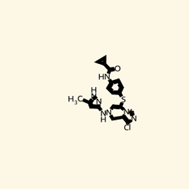 Cc1cc(NN2C=C(Sc3ccc(NC(=O)C4CC4)cc3)[N+]3C=NC(Cl)=C3C2)n[nH]1